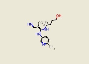 CCOC(=O)/C(C=N)=C(\NCCCCO)Nc1ccc(C(F)(F)F)nc1